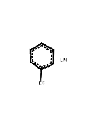 [CH2]Cc1ccccc1.[LiH]